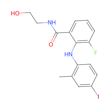 Cc1cc(I)ccc1Nc1c(F)cccc1C(=O)NCCO